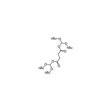 CCCCOC(OCCCC)OC(=O)CCC(=O)OC(OCCCC)OCCCC